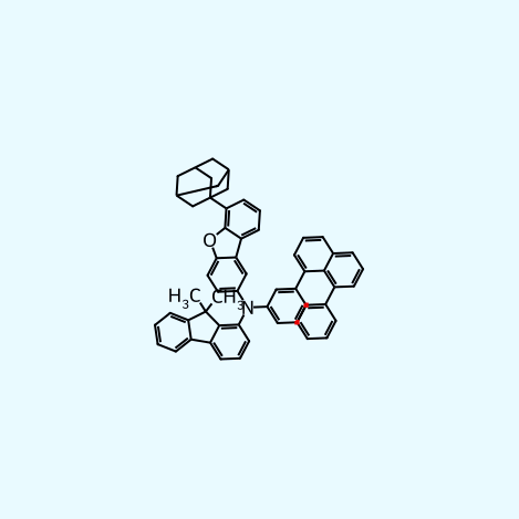 CC1(C)c2ccccc2-c2cccc(N(c3cccc(-c4cccc5cccc(-c6ccccc6)c45)c3)c3ccc4oc5c(C67CC8CC(CC(C8)C6)C7)cccc5c4c3)c21